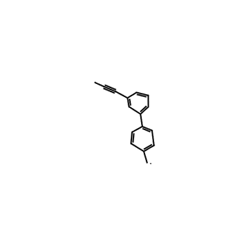 [CH2]c1ccc(-c2cccc(C#CC)c2)cc1